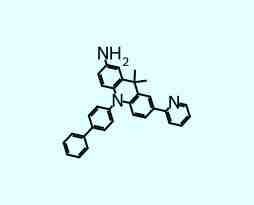 CC1(C)c2cc(N)ccc2N(c2ccc(-c3ccccc3)cc2)c2ccc(-c3ccccn3)cc21